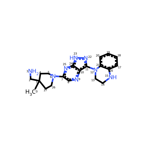 CC1(CN)CCN(c2cnc3c(N4CCNc5ccccc54)n[nH]c3n2)CC1